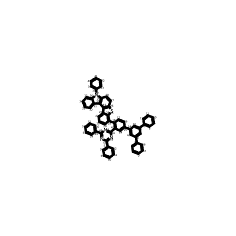 c1ccc(-c2cc(-c3ccccc3)cc(-c3ccc(-c4cccc5c4sc4ccc6c(c7ccccc7n6-c6ccccc6)c45)c(-c4nc(-c5ccccc5)nc(-c5ccccc5)n4)c3)c2)cc1